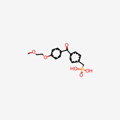 COCCOc1ccc(C(=O)c2ccc(CP(=O)(O)O)cc2)cc1